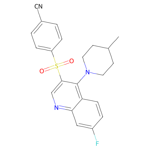 CC1CCN(c2c(S(=O)(=O)c3ccc(C#N)cc3)cnc3cc(F)ccc23)CC1